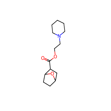 O=C(OCCN1CCCCC1)C1CC2CCC1O2